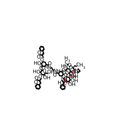 CCC[C@H](OC1C(NC(C)=O)[C@H](O[C@@H]2CC(C(=O)NCCNC(=O)C3CC(OCc4cc5ccccc5oc4=O)C(O)[C@H](O[C@@H]4OC(CO)[C@H](O)C(OCc5cc6ccccc6oc5=O)C4O)C3)CC(n3cc(-c4ccccc4)nn3)C2O[C@@H]2OC(C)[C@@H](O)C(O)C2O)OC(CO)[C@@H]1O)C(=O)N1CCC1